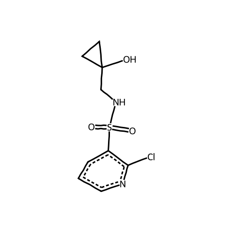 O=S(=O)(NCC1(O)CC1)c1cccnc1Cl